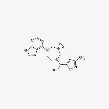 Cc1cc(C(C=O)N2CCN(c3ncnc4[nH]ccc34)CC3(CC3)C2)on1